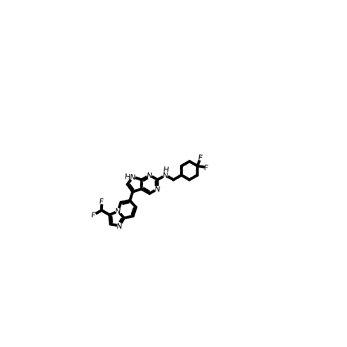 FC(F)c1cnc2ccc(-c3c[nH]c4nc(NCC5CCC(F)(F)CC5)ncc34)cn12